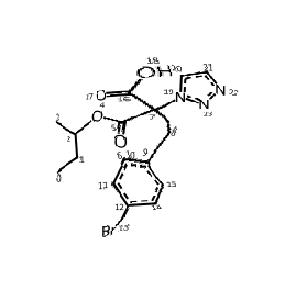 CCC(C)OC(=O)C(Cc1ccc(Br)cc1)(C(=O)O)n1ccnn1